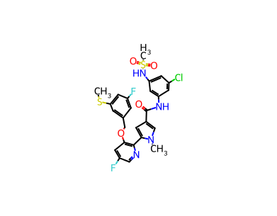 CSc1cc(F)cc(COc2cc(F)cnc2-c2cc(C(=O)Nc3cc(Cl)cc(NS(C)(=O)=O)c3)cn2C)c1